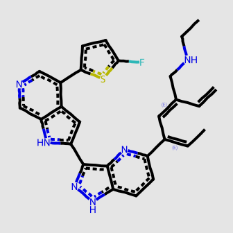 C=C/C(=C\C(=C/C)c1ccc2[nH]nc(-c3cc4c(-c5ccc(F)s5)cncc4[nH]3)c2n1)CNCC